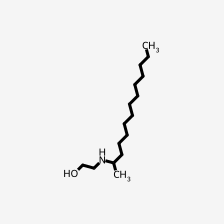 CCCCCCCCCCCCC(C)NCCO